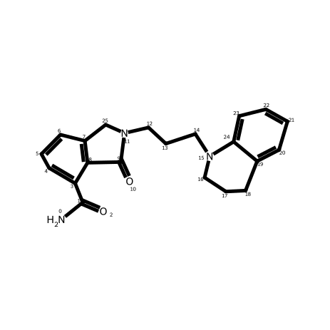 NC(=O)c1cccc2c1C(=O)N(CCCN1CCCc3ccccc31)C2